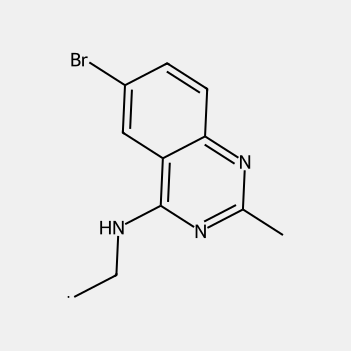 [CH2]CNc1nc(C)nc2ccc(Br)cc12